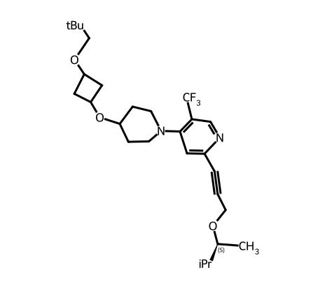 CC(C)[C@H](C)OCC#Cc1cc(N2CCC(OC3CC(OCC(C)(C)C)C3)CC2)c(C(F)(F)F)cn1